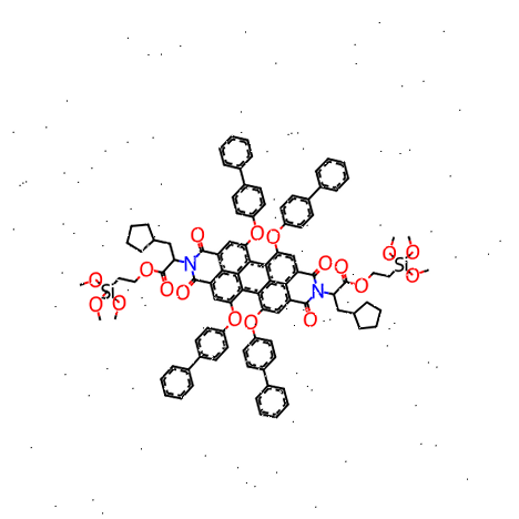 CO[Si](CCOC(=O)C(CC1CCCC1)N1C(=O)c2cc(Oc3ccc(-c4ccccc4)cc3)c3c4c(Oc5ccc(-c6ccccc6)cc5)cc5c6c(cc(Oc7ccc(-c8ccccc8)cc7)c(c7c(Oc8ccc(-c9ccccc9)cc8)cc(c2c37)C1=O)c64)C(=O)N(C(CC1CCCC1)C(=O)OCC[Si](OC)(OC)OC)C5=O)(OC)OC